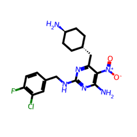 Nc1nc(NCc2ccc(F)c(Cl)c2)nc(C[C@H]2CC[C@H](N)CC2)c1[N+](=O)[O-]